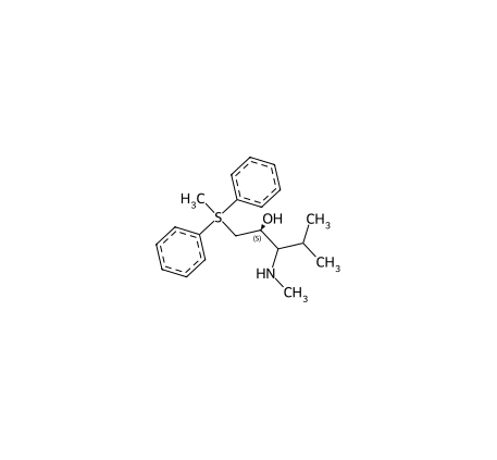 CNC(C(C)C)[C@H](O)CS(C)(c1ccccc1)c1ccccc1